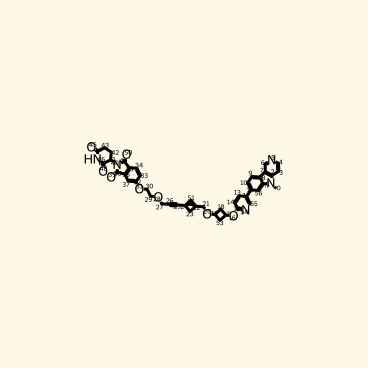 Cn1c2ccncc2c2ccc(-c3ccc(OC4CC(OCC56CC(C#CCOCCOc7ccc8c(c7)C(=O)N(C7CCC(=O)NC7=O)C8=O)(C5)C6)C4)nc3)cc21